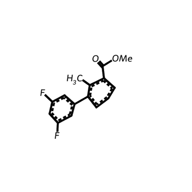 COC(=O)c1cccc(-c2cc(F)cc(F)c2)c1C